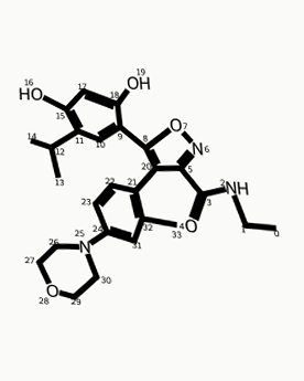 CCNC(=O)c1noc(-c2cc(C(C)C)c(O)cc2O)c1-c1ccc(N2CCOCC2)cc1C